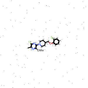 COc1nc(C)c(F)nc1N1CCC(COc2ccccc2F)CC1